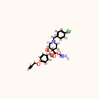 C#CCOc1ccc(S(=O)(=O)C2(C(=O)ON)CCN(Cc3ccc(Br)cc3)CC2)cc1